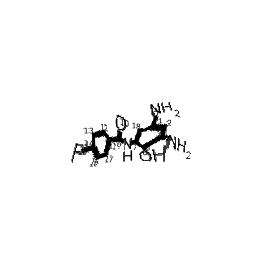 Nc1cc(N)c(O)c(NC(=O)c2ccc(F)cc2)c1